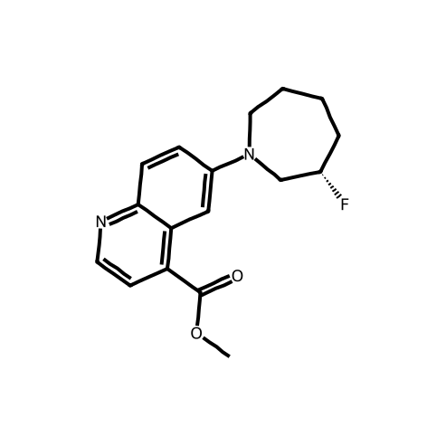 COC(=O)c1ccnc2ccc(N3CCCC[C@H](F)C3)cc12